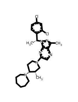 Cc1nn([C@H](C)c2ccc(Cl)cc2Cl)c2nc(N3CC[C@@H](N4CCCCCC4)[C@@H](C)C3)cnc12